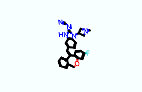 CN1CC(n2c(=NC#N)[nH]c3cc(C=C4c5ccccc5COc5cc(F)ccc54)ccc32)C1